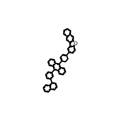 C1=C(c2ccc3oc4cc5ccccc5cc4c3c2)CCC(c2c3ccccc3c(-c3cccc(-c4cccc5ccccc45)c3)c3ccccc23)=C1